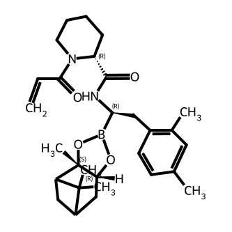 C=CC(=O)N1CCCC[C@@H]1C(=O)N[C@@H](Cc1ccc(C)cc1C)B1O[C@@H]2CC3CC(C3(C)C)[C@]2(C)O1